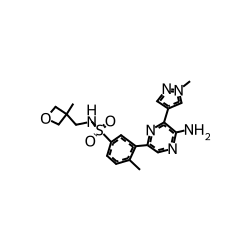 Cc1ccc(S(=O)(=O)NCC2(C)COC2)cc1-c1cnc(N)c(-c2cnn(C)c2)n1